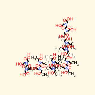 CC(O)CN(CCN(CC(C)O)CC(C)O)CC(C)O.CC(O)CN(CCN(CC(C)O)CC(C)O)CC(C)O.CC(O)CN(CCN(CC(C)O)CC(C)O)CC(C)O.CC(O)CN(CCN(CC(C)O)CC(C)O)CC(C)O.O=C(O)CN(CCN(CC(=O)O)CC(=O)O)CC(=O)O.O=C(O)CN(CCN(CC(=O)O)CC(=O)O)CC(=O)O